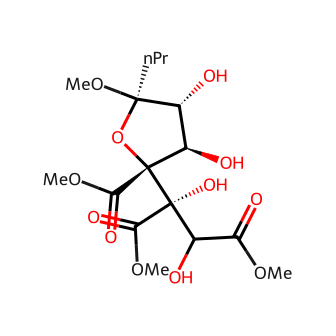 CCC[C@@]1(OC)O[C@@](C(=O)OC)([C@](O)(C(=O)OC)C(O)C(=O)OC)[C@H](O)[C@H]1O